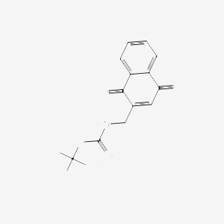 CC(C)(C)OC(=O)NCC1=CC(=O)c2ccccc2C1=O